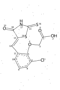 O=C(O)COc1c(Cl)cccc1/C=C1\SC(=S)NC1=O